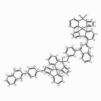 CC1(C)c2ccccc2C2(c3ccccc3-c3c(-c4nc(-c5cccc(CC6(C)c7ccccc7C7(c8ccccc8-c8cc(-c9ccc(-c%10cnc%11ccccc%11n%10)cc9)ccc87)c7ccccc76)c5)c5ccccc5n4)cccc32)c2ccccc21